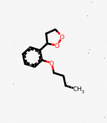 CCCCOc1ccccc1[C]1CCOO1